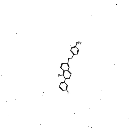 CCCc1ccc(CCc2ccc3c(F)c(-c4cccc(F)c4)ccc3c2)cc1